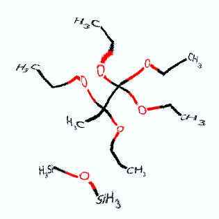 CCOC(C)(OCC)C(OCC)(OCC)OCC.[SiH3]O[SiH3]